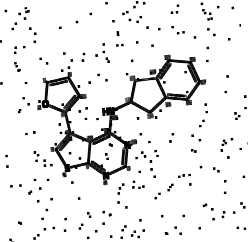 c1coc(-c2csc3ncnc(NC4Cc5ccccc5C4)c23)c1